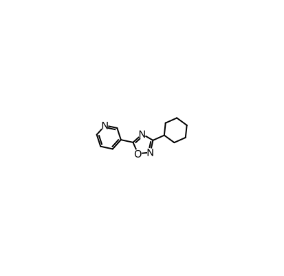 c1cncc(-c2nc(C3CCCCC3)no2)c1